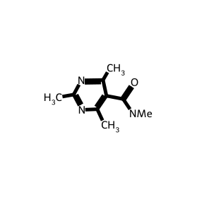 CNC(=O)c1c(C)nc(C)nc1C